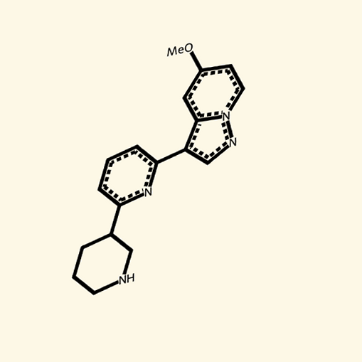 COc1ccn2ncc(-c3cccc(C4CCCNC4)n3)c2c1